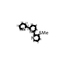 CSc1cccnc1-c1cccc(-c2ccccn2)n1